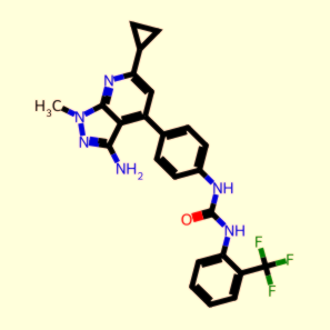 Cn1nc(N)c2c(-c3ccc(NC(=O)Nc4ccccc4C(F)(F)F)cc3)cc(C3CC3)nc21